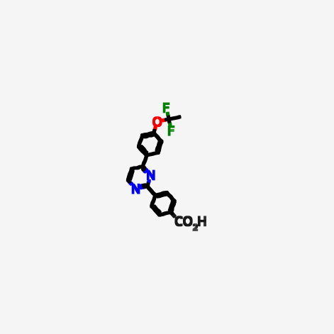 CC(F)(F)Oc1ccc(-c2ccnc(-c3ccc(C(=O)O)cc3)n2)cc1